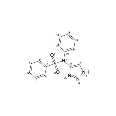 O=S(=O)(c1ccccc1)N(c1ccccc1)c1c[nH]nn1